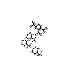 C[N+](C)(C)C1CCCCC1.C[N+](C)(C)C1CCCCC1.C[N+](C)(C)C1CCCCC1.O=C([O-])c1ccc(C(=O)[O-])c(C(=O)[O-])c1